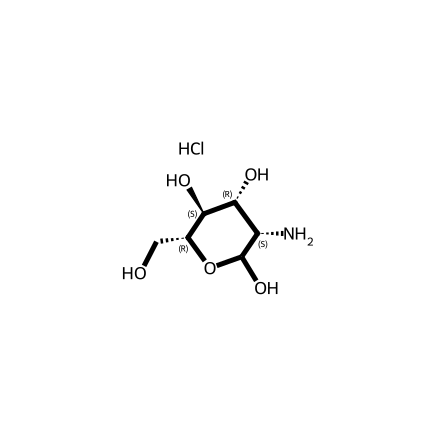 Cl.N[C@@H]1C(O)O[C@H](CO)[C@@H](O)[C@@H]1O